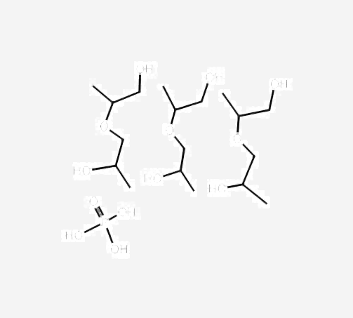 CC(O)COC(C)CO.CC(O)COC(C)CO.CC(O)COC(C)CO.O=P(O)(O)O